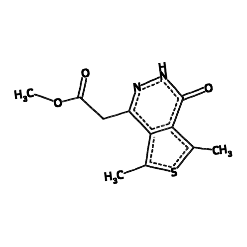 COC(=O)Cc1n[nH]c(=O)c2c(C)sc(C)c12